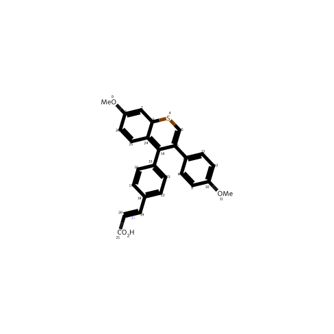 COC1=CC2SC=C(c3ccc(OC)cc3)C(c3ccc(/C=C/C(=O)O)cc3)=C2C=C1